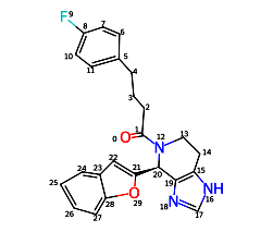 O=C(CCCc1ccc(F)cc1)N1CCc2[nH]cnc2[C@H]1c1cc2ccccc2o1